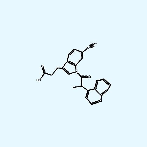 [C-]#[N+]c1ccc2c(CCC(=O)O)cn(C(=O)C(C)c3cccc4ccccc34)c2c1